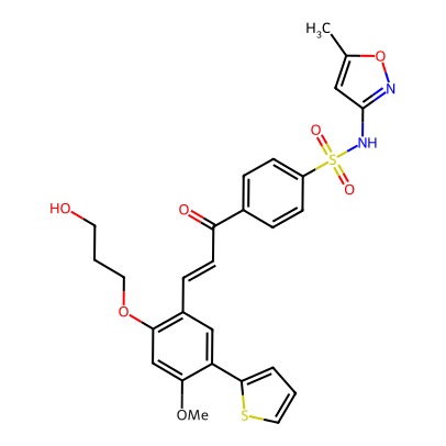 COc1cc(OCCCO)c(C=CC(=O)c2ccc(S(=O)(=O)Nc3cc(C)on3)cc2)cc1-c1cccs1